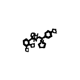 O=C(NCC(c1ccc(Cl)cc1)N1CCCC1)c1cccc(Cl)c1Cl